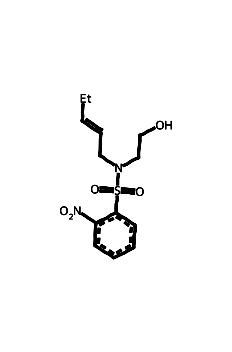 CCC=CCN(CCO)S(=O)(=O)c1ccccc1[N+](=O)[O-]